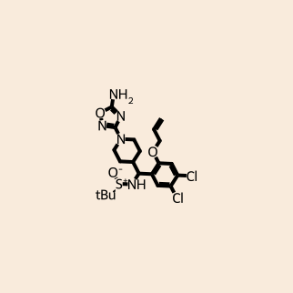 C=CCOc1cc(Cl)c(Cl)cc1C(N[S@@+]([O-])C(C)(C)C)C1CCN(c2noc(N)n2)CC1